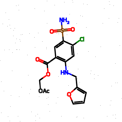 CC(=O)OCOC(=O)c1cc(S(N)(=O)=O)c(Cl)cc1NCc1ccco1